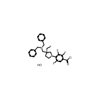 Cl.O=C(Cl)c1cc(F)c(N2CC[C@](CF)(CN(Cc3ccccc3)Cc3ccccc3)C2)c(F)c1F